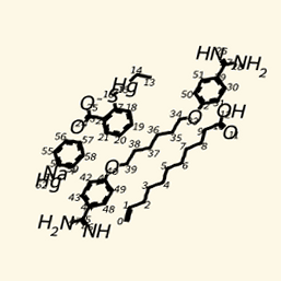 C=CCCCCCCCCC(=O)O.C[CH2][Hg][S]c1ccccc1C(=O)[O-].N=C(N)c1ccc(OCCCCCCOc2ccc(C(=N)N)cc2)cc1.[Hg].[Na+].c1ccccc1